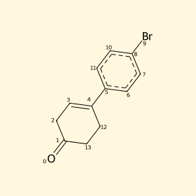 O=C1CC=C(c2ccc(Br)cc2)CC1